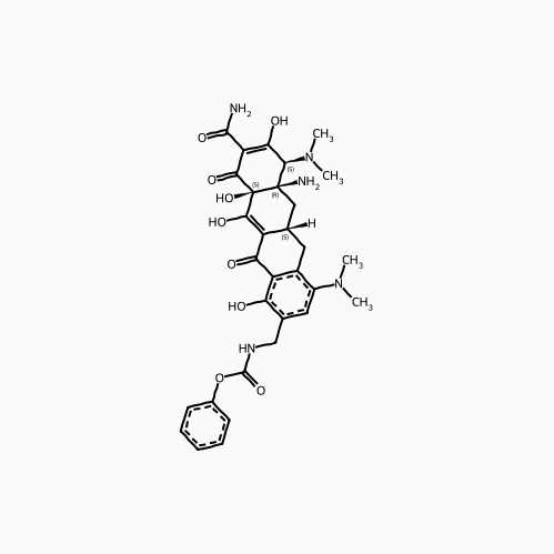 CN(C)c1cc(CNC(=O)Oc2ccccc2)c(O)c2c1C[C@H]1C[C@@]3(N)[C@H](N(C)C)C(O)=C(C(N)=O)C(=O)[C@@]3(O)C(O)=C1C2=O